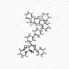 CC1(C)c2ccccc2-c2cc3c(cc21)-c1c(-c2ccc(-c4cccc(-c5nc(-c6ccccc6)nc6c5oc5ccccc56)c4)cc2)cccc1C31CCCCC1